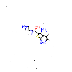 Cc1nnc2sc(C(O)NC3CNC3)c(N)c2c1C